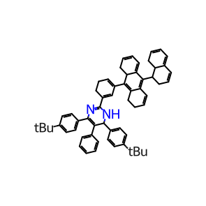 CC(C)(C)c1ccc(C2=C(c3ccccc3)C(c3ccc(C(C)(C)C)cc3)NC(C3=CC(C4=C5CCC=CC5=C(C5CC=CC6=CC=CCC65)C5=CC=CCC54)=CCC3)=N2)cc1